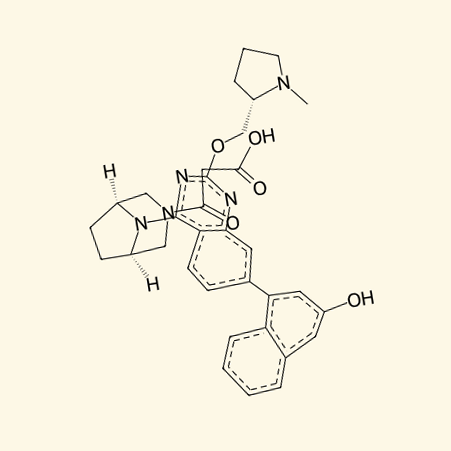 CN1CCC[C@H]1COc1nc(N2[C@@H]3CC[C@H]2CN(C(=O)CC(=O)O)C3)c2ccc(-c3cc(O)cc4ccccc34)cc2n1